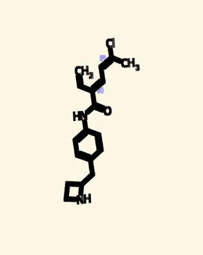 C=C/C(=C\C=C(/C)Cl)C(=O)Nc1ccc(CC2CCN2)cc1